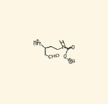 CCCC(CC=O)CCNC(=O)OC(C)(C)C